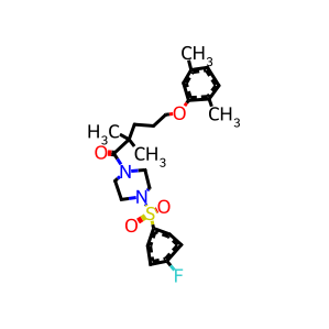 Cc1ccc(C)c(OCCCC(C)(C)C(=O)N2CCN(S(=O)(=O)c3ccc(F)cc3)CC2)c1